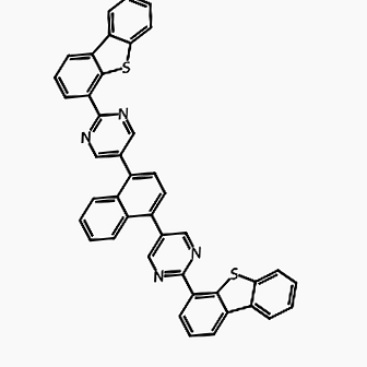 c1ccc2c(c1)sc1c(-c3ncc(-c4ccc(-c5cnc(-c6cccc7c6sc6ccccc67)nc5)c5ccccc45)cn3)cccc12